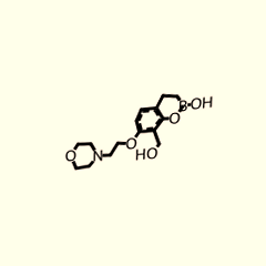 OCc1c(OCCN2CCOCC2)ccc2c1OB(O)CC2